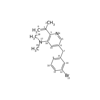 C=C(C)c1ncc(Cc2cccc(Br)c2)cc1N(C)C